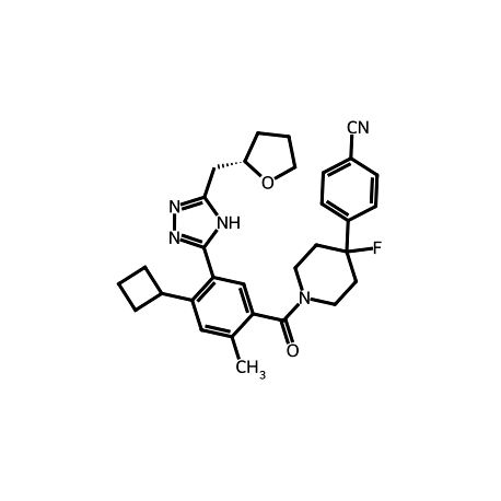 Cc1cc(C2CCC2)c(-c2nnc(C[C@@H]3CCCO3)[nH]2)cc1C(=O)N1CCC(F)(c2ccc(C#N)cc2)CC1